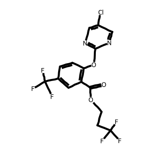 O=C(OCCC(F)(F)F)c1cc(C(F)(F)F)ccc1Oc1ncc(Cl)cn1